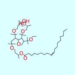 CCCCCCCC/C=C\CCCCCCCC(=O)OC(C)CCOC(C)(C)CC(C1OCC(C(C)(C)OCC)C1C(C)(C)OCC(C)O)C(C)(C)OCCC(C)(C)O